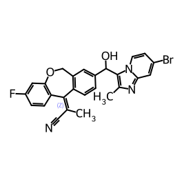 C/C(C#N)=C1\c2ccc(C(O)c3c(C)nc4cc(Br)ccn34)cc2COc2cc(F)ccc21